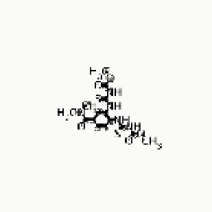 COC(=O)NC(=S)Nc1ccc(C(=O)N(C)C)cc1NC(=S)NC(=O)OC